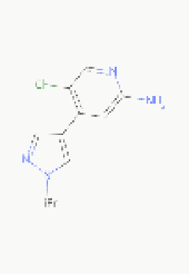 CC(C)n1cc(-c2cc(N)ncc2Cl)cn1